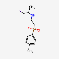 Cc1ccc(S(=O)(=O)CCNC(C)CI)cc1